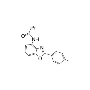 Cc1ccc(-c2nc3c(NC(=O)C(C)C)cccc3o2)cc1